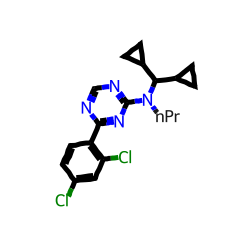 CCCN(c1ncnc(-c2ccc(Cl)cc2Cl)n1)C(C1CC1)C1CC1